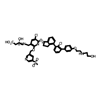 CS(=O)(=O)c1cncc(COc2nc(O[C@H]3CCc4c(-c5cccc(-c6ccc(OCCNCCO)cc6)c5Cl)cccc43)c(Cl)cc2CNC[C@@H](O)CC(=O)O)c1